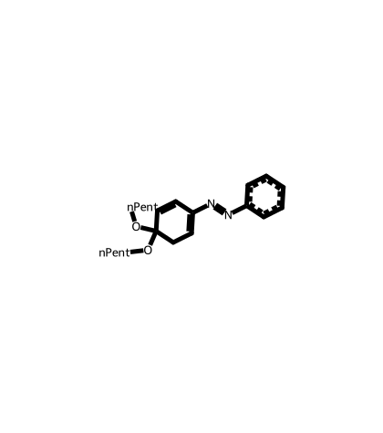 CCCCCOC1(OCCCCC)C=CC(N=Nc2ccccc2)=CC1